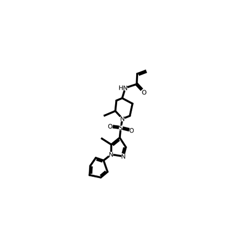 C=CC(=O)NC1CCN(S(=O)(=O)c2cnn(-c3ccccc3)c2C)C(C)C1